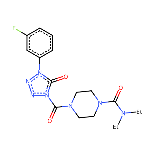 CCN(CC)C(=O)N1CCN(C(=O)n2nnn(-c3cccc(F)c3)c2=O)CC1